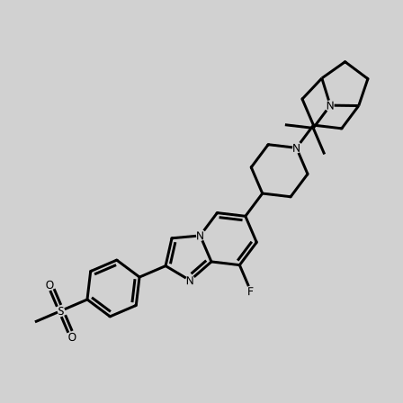 CC(C)N1C2CCC1CC(N1CCC(c3cc(F)c4nc(-c5ccc(S(C)(=O)=O)cc5)cn4c3)CC1)C2